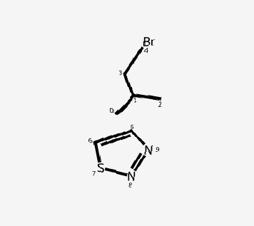 CC(C)CBr.c1csnn1